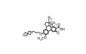 COc1cc2c(cc1OCCCN1CC3(COC3)C1)C1CCC(C)(C)[C@H]1n1cc(C(=O)O)c(=O)cc1-2